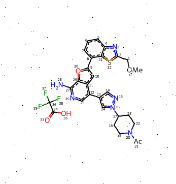 COCc1nc2cccc(-c3cc4c(-c5cnn(C6CCN(C(C)=O)CC6)c5)cnc(N)c4o3)c2s1.O=C(O)C(F)(F)F